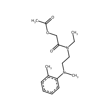 CCN(CCN(C)c1ccccc1C)C(=O)COC(C)=O